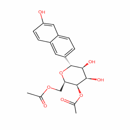 CC(=O)OC[C@H]1O[C@H](c2ccc3cc(O)ccc3c2)[C@@H](O)[C@@H](O)[C@H]1OC(C)=O